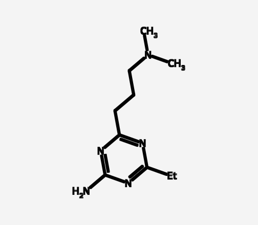 CCc1nc(N)nc(CCCN(C)C)n1